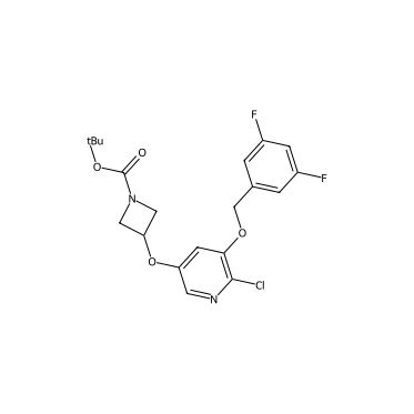 CC(C)(C)OC(=O)N1CC(Oc2cnc(Cl)c(OCc3cc(F)cc(F)c3)c2)C1